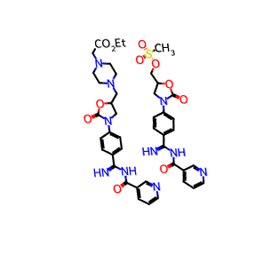 CCOC(=O)CN1CCN(CC2CN(c3ccc(C(=N)NC(=O)c4cccnc4)cc3)C(=O)O2)CC1.CS(=O)(=O)OCC1CN(c2ccc(C(=N)NC(=O)c3cccnc3)cc2)C(=O)O1